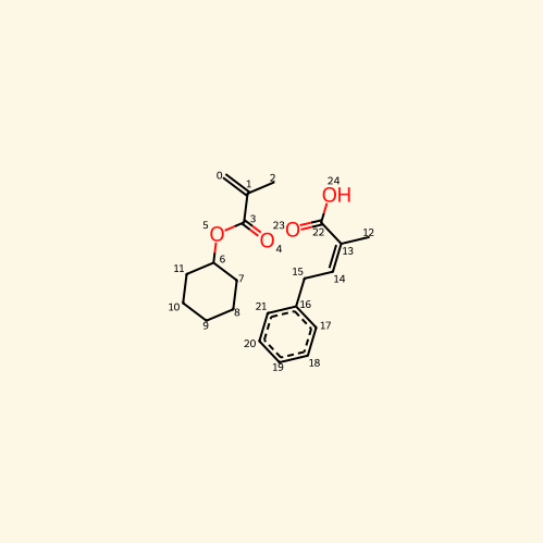 C=C(C)C(=O)OC1CCCCC1.CC(=CCc1ccccc1)C(=O)O